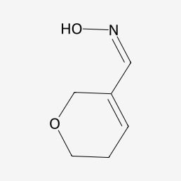 O/N=C\C1=CCCOC1